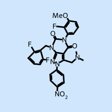 COc1cccc(-n2c(=O)c3c(CN(C)C)n(-c4ccc([N+](=O)[O-])cc4)nc3n(Cc3c(F)cccc3F)c2=O)c1F